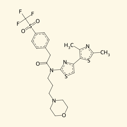 Cc1nc(C)c(-c2csc(N(CCCN3CCOCC3)C(=O)Cc3ccc(S(=O)(=O)C(F)(F)F)cc3)n2)s1